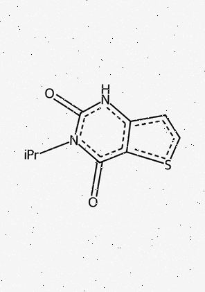 CC(C)n1c(=O)[nH]c2ccsc2c1=O